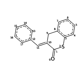 O=C1Sc2ccccc2CC1=Cc1ccccc1